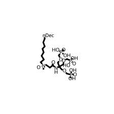 CCCCCCCCCCCCCCCCCC[N+](C)([O-])CCC(=O)NC(COCP(=O)(O)O)(COCP(=O)(O)O)COCP(=O)(O)O